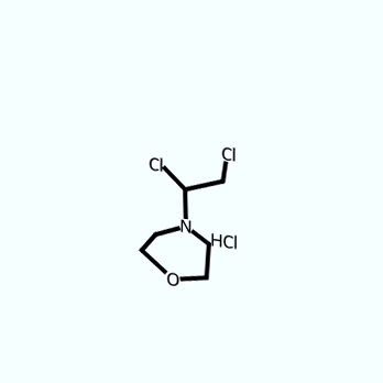 Cl.ClCC(Cl)N1CCOCC1